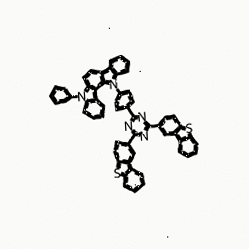 c1ccc(-n2c3ccccc3c3c2ccc2c4ccccc4n(-c4ccc(-c5nc(-c6ccc7sc8ccccc8c7c6)nc(-c6ccc7sc8ccccc8c7c6)n5)cc4)c23)cc1